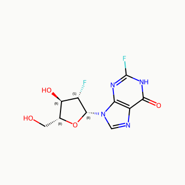 O=c1[nH]c(F)nc2c1ncn2[C@@H]1O[C@H](CO)[C@@H](O)[C@@H]1F